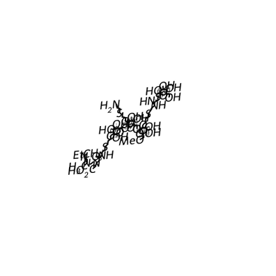 CCN(C)CCN(C)CCN(CC(=O)O)CC(=O)NCCSCCCOC1[C@@H](O)[C@H](O)C(CO[C@H]2OC(CO[C@H]3OC(COC)[C@@H](O)[C@H](O)C3OCCCSCCNC(=N)CS[C@H]3OC(CO)[C@@H](O)C(O)[C@H]3O)[C@@H](O)[C@H](O)C2OCCCSCCN)O[C@@H]1O